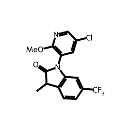 COc1ncc(Cl)cc1N1C(=O)C(C)c2ccc(C(F)(F)F)cc21